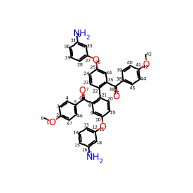 COc1ccc(C(=O)c2cc(Oc3cccc(N)c3)ccc2-c2ccc(Oc3cccc(N)c3)cc2C(=O)c2ccc(OC)cc2)cc1